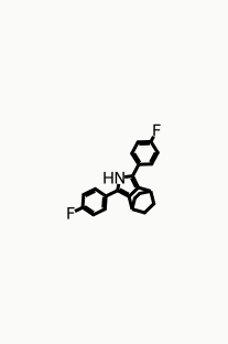 Fc1ccc(-c2[nH]c(-c3ccc(F)cc3)c3c2C2CCC3CC2)cc1